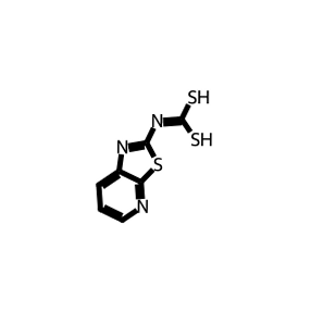 SC(S)=Nc1nc2cccnc2s1